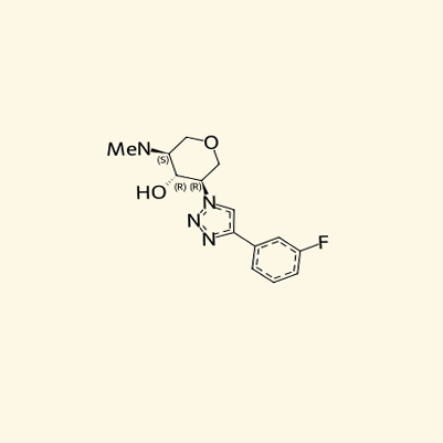 CN[C@H]1COC[C@@H](n2cc(-c3cccc(F)c3)nn2)[C@@H]1O